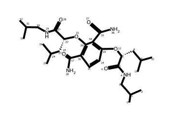 CC(C)CNC(=O)[C@@H](CC(C)C)Oc1ccc(C(N)=O)c(O[C@H](CC(C)C)C(=O)NCC(C)C)c1C(N)=O